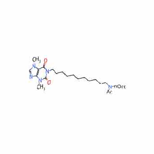 CCCCCCCCN(CCCCCCCCCCCn1c(=O)c2c(ncn2C)n(C)c1=O)C(C)=O